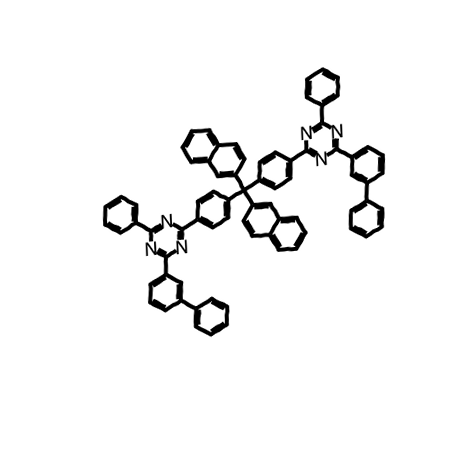 c1ccc(-c2cccc(-c3nc(-c4ccccc4)nc(-c4ccc(C(c5ccc(-c6nc(-c7ccccc7)nc(-c7cccc(-c8ccccc8)c7)n6)cc5)(c5ccc6ccccc6c5)c5ccc6ccccc6c5)cc4)n3)c2)cc1